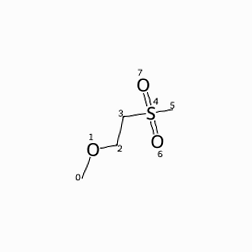 COCCS(C)(=O)=O